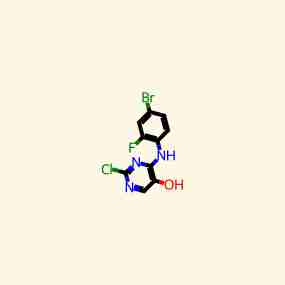 Oc1cnc(Cl)nc1Nc1ccc(Br)cc1F